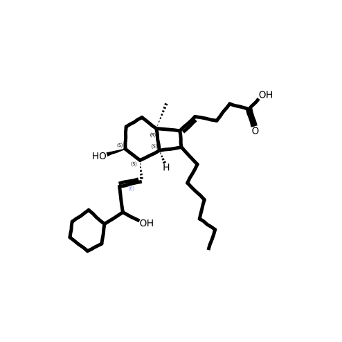 CCCCCCC1C(=CCCC(=O)O)[C@]2(C)CC[C@H](O)[C@@H](/C=C/C(O)C3CCCCC3)[C@H]12